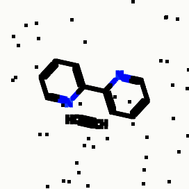 C#C.c1ccc(-c2ccccn2)nc1